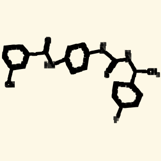 CC(NC(=S)Nc1ccc(NC(=O)c2cccc(C#N)c2)cc1)c1ccc(F)cc1